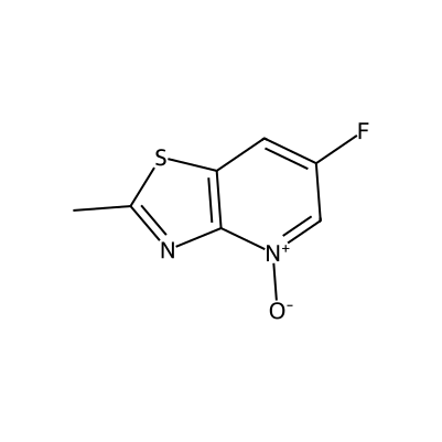 Cc1nc2c(cc(F)c[n+]2[O-])s1